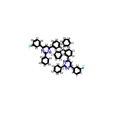 Fc1cccc(-c2cc(-c3cccc([Si](c4ccccc4)(c4ccccc4)c4cccc(-c5cc(-c6cccc(F)c6)nc(-c6ccccc6)n5)c4)c3)nc(-c3ccccc3)n2)c1